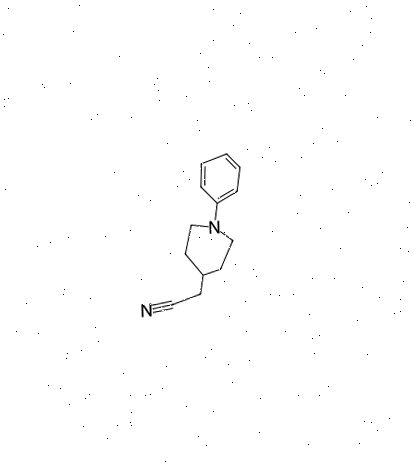 N#CCC1CCN(c2ccccc2)CC1